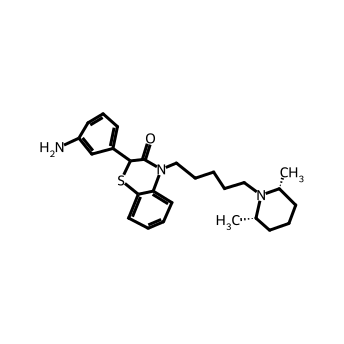 C[C@@H]1CCC[C@H](C)N1CCCCCN1C(=O)C(c2cccc(N)c2)Sc2ccccc21